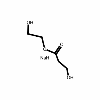 O=C(CCO)OCCO.[NaH]